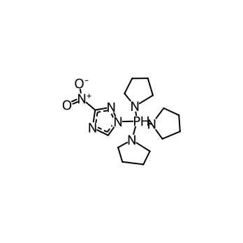 O=[N+]([O-])c1ncn([PH](N2CCCC2)(N2CCCC2)N2CCCC2)n1